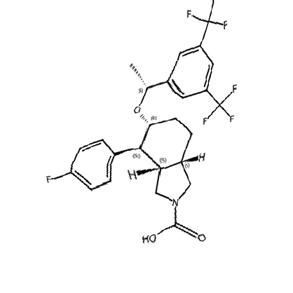 C[C@@H](O[C@@H]1CC[C@@H]2CN(C(=O)O)C[C@@H]2[C@H]1c1ccc(F)cc1)c1cc(C(F)(F)F)cc(C(F)(F)F)c1